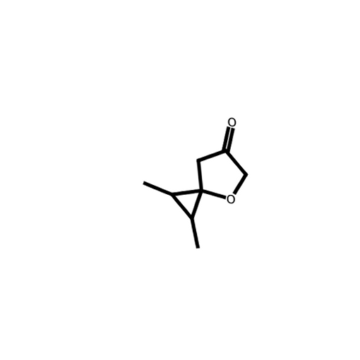 CC1C(C)C12CC(=O)CO2